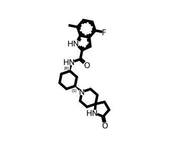 Cc1ccc(F)c2cc(C(=O)N[C@@H]3CCC[C@H](N4CCC5(CCC(=O)N5)CC4)C3)[nH]c12